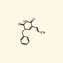 N#C/C=C/c1cn(Cc2ccccc2)c(=O)[nH]c1=O